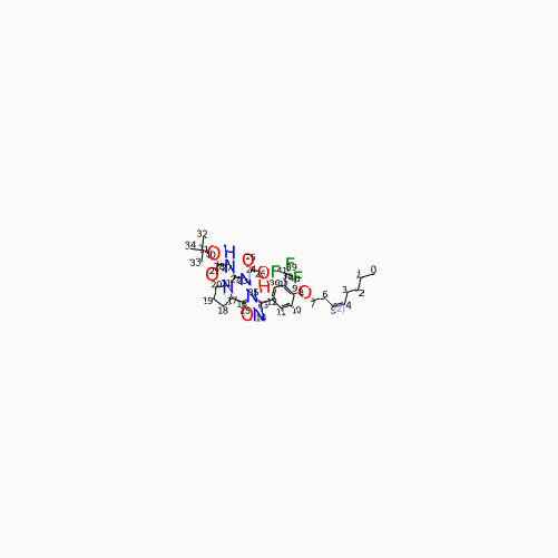 CCCC/C=C\CCOc1ccc(-c2noc(C3CCCN3C(=NC(=O)O)NC(=O)OC(C)(C)C)n2)cc1C(F)(F)F